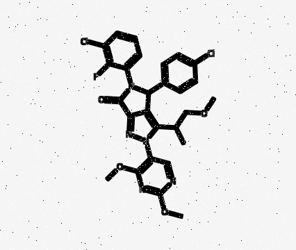 COCC(C)c1c2c(nn1-c1cnc(OC)nc1OC)C(=O)N(c1cccc(Cl)c1F)C2c1ccc(Cl)cc1